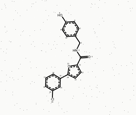 O=C(NCc1ccc(O)cc1)c1ccc(-c2cccc(Cl)c2)o1